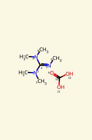 CN=C(N(C)C)N(C)C.O=C(O)O